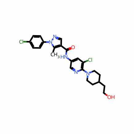 Cc1c(C(=O)Nc2cnc(N3CCC(CCO)CC3)c(Cl)c2)cnn1-c1ccc(Cl)cc1